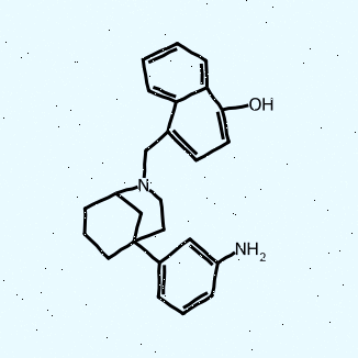 Nc1cccc(C23CCCC(C2)N(Cc2ccc(O)c4ccccc24)CC3)c1